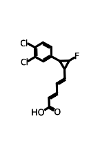 O=C(O)C=CC=CC1C(F)C1c1ccc(Cl)c(Cl)c1